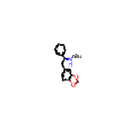 CCCCNC(Cc1ccc2c(c1)OCO2)c1ccccc1